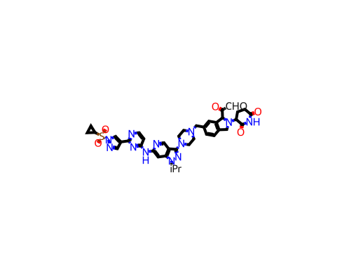 CC(C)n1nc(N2CCN(Cc3ccc4c(c3)C(C(=O)C=O)N(C3CCC(=O)NC3=O)C4)CC2)c2cnc(Nc3ccnc(-c4cnn(S(=O)(=O)C5CC5)c4)n3)cc21